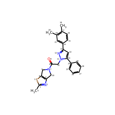 Cc1nc2c(s1)CN(C(=O)Cn1nc(-c3ccc(C)c(C)c3)cc1-c1ccccc1)C2